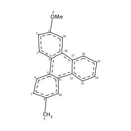 COc1ccc2c3ccc(C)cc3c3ccccc3c2c1